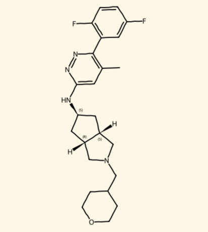 Cc1cc(N[C@H]2C[C@@H]3CN(CC4CCOCC4)C[C@@H]3C2)nnc1-c1cc(F)ccc1F